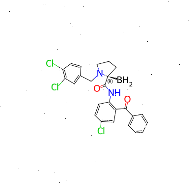 B[C@]1(C(=O)Nc2ccc(Cl)cc2C(=O)c2ccccc2)CCCN1Cc1ccc(Cl)c(Cl)c1